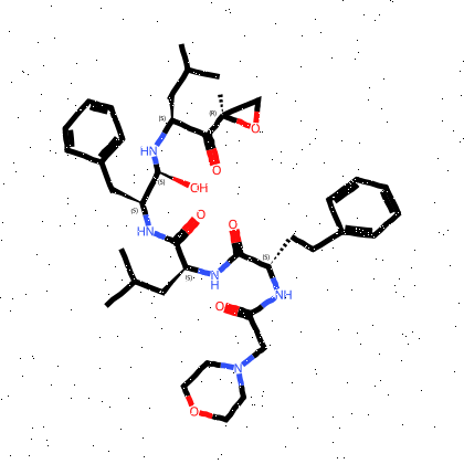 CC(C)C[C@H](NC(=O)[C@H](CCc1ccccc1)NC(=O)CN1CCOCC1)C(=O)N[C@@H](Cc1ccccc1)[C@H](O)N[C@@H](CC(C)C)C(=O)[C@@]1(C)CO1